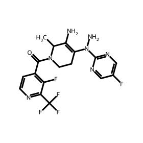 CC1C(N)=C(N(N)c2ncc(F)cn2)CCN1C(=O)c1ccnc(C(F)(F)F)c1F